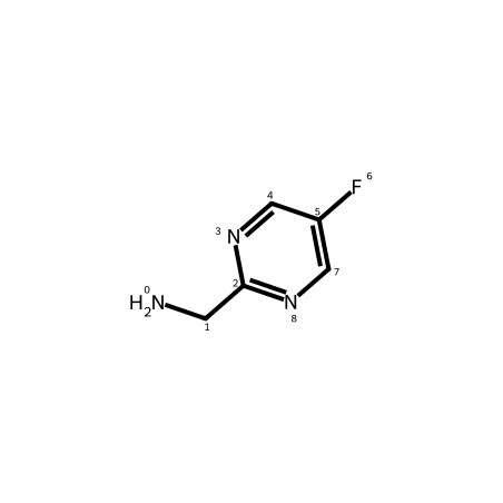 NCc1ncc(F)cn1